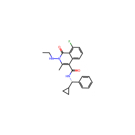 CCNn1c(C)c(C(=O)N[C@H](c2ccccc2)C2CC2)c2cccc(F)c2c1=O